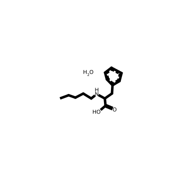 CCCCCNC(Cc1ccccc1)C(=O)O.O